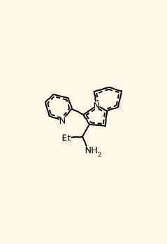 CCC(N)c1cc2ccccn2c1-c1ccccn1